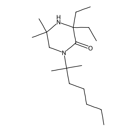 CCCCCC(C)(C)N1CC(C)(C)NC(CC)(CC)C1=O